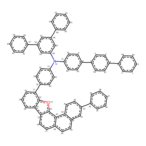 c1ccc(-c2ccc(-c3ccc(N(c4ccc(-c5cccc6c5oc5c6ccc6ccc7cc(-c8ccccc8)ccc7c65)cc4)c4cc(-c5ccccc5)cc(-c5ccccc5)c4)cc3)cc2)cc1